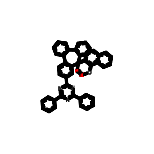 c1ccc(-c2nc(-c3ccccc3)nc(-c3ccc4c(c3)C3(c5ccccc5Oc5c3ccc3ccccc53)c3ccccc3-c3ccccc3-4)n2)cc1